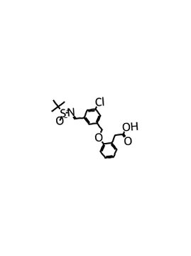 CC(C)(C)[S+]([O-])N=Cc1cc(Cl)cc(COc2ccccc2CC(=O)O)c1